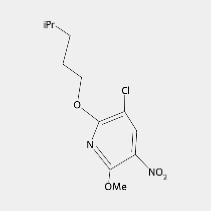 COc1nc(OCCCC(C)C)c(Cl)cc1[N+](=O)[O-]